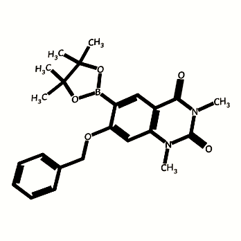 Cn1c(=O)c2cc(B3OC(C)(C)C(C)(C)O3)c(OCc3ccccc3)cc2n(C)c1=O